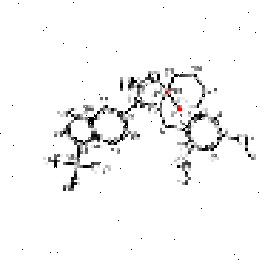 COc1ccc(CN2N(c3ccc4c(C(F)(F)F)csc4c3)NO[C@@]23CC2CCC3CC2)c(OC)c1